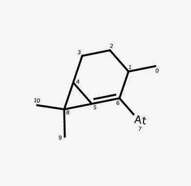 CC1CCC2C(=C1[At])C2(C)C